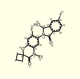 CCN1C(=O)C2(CCC2)Oc2cc(F)c(N3C(=O)c4ccc(F)cc4C3O)cc21